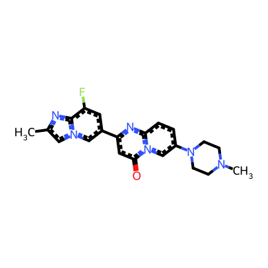 Cc1cn2cc(-c3cc(=O)n4cc(N5CCN(C)CC5)ccc4n3)cc(F)c2n1